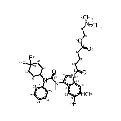 CN(C)CCOC(=O)CCCC(=O)n1cc(NC(=O)N(c2ccccc2)C2CCC(F)(F)CC2)c2cc(F)ccc21.Cl